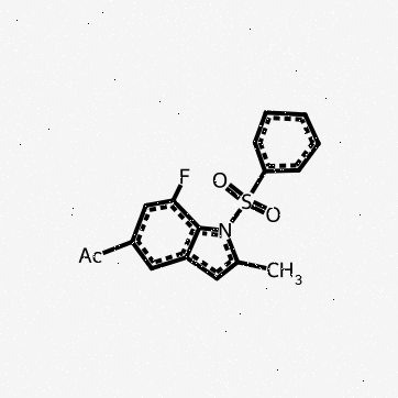 CC(=O)c1cc(F)c2c(c1)cc(C)n2S(=O)(=O)c1ccccc1